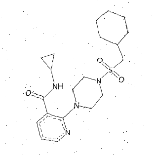 O=C(NC1CC1)c1cccnc1N1CCN(S(=O)(=O)CC2CCCCC2)CC1